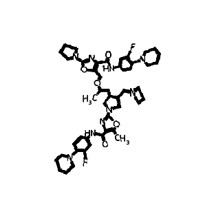 Cc1oc(N2CC(CC(C)OCc3oc(N4CCCC4)nc3C(=O)Nc3ccc(N4CCCCC4)c(F)c3)C(CN3CCC3)C2)nc1C(=O)Nc1ccc(N2CCCCC2)c(F)c1